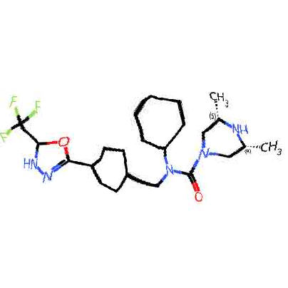 C[C@@H]1CN(C(=O)N(CC2CCC(C3=NNC(C(F)(F)F)O3)CC2)C2CCCCC2)C[C@H](C)N1